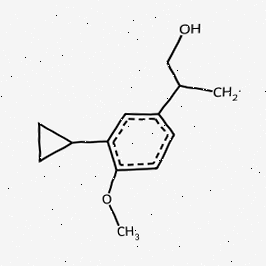 [CH2]C(CO)c1ccc(OC)c(C2CC2)c1